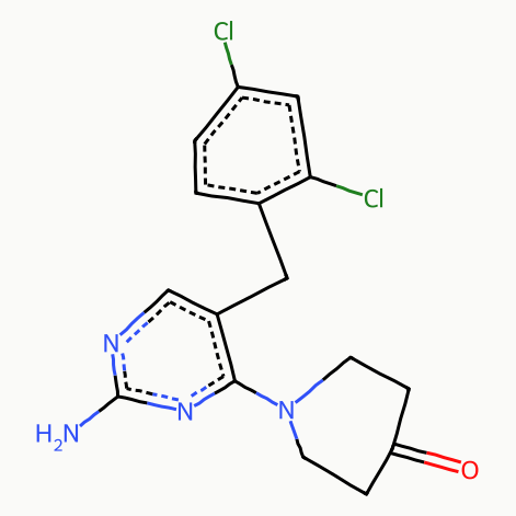 Nc1ncc(Cc2ccc(Cl)cc2Cl)c(N2CCC(=O)CC2)n1